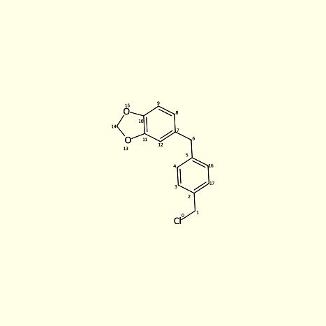 ClCc1ccc(Cc2ccc3c(c2)OCO3)cc1